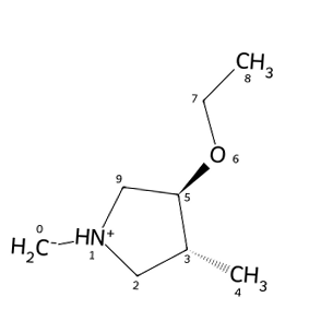 [CH2-][NH+]1C[C@@H](C)[C@H](OCC)C1